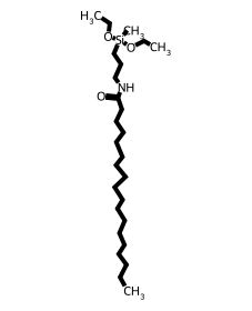 CCCCCCCCCCCCCCCCCC(=O)NCCC[Si](C)(OCC)OCC